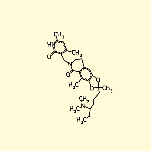 CCC(CCCC1(C)Oc2cc3c(c(C)c2O1)C(=O)N(Cc1c(C)cc(C)[nH]c1=O)CC3)N(C)C